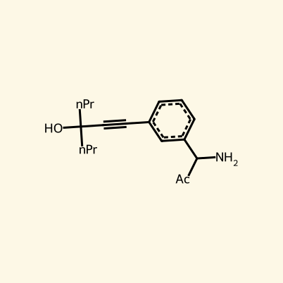 CCCC(O)(C#Cc1cccc(C(N)C(C)=O)c1)CCC